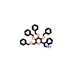 c1ccc(COCC2OC(c3c[nH]c4ccccc34)C(OCc3ccccc3)C(OCc3ccccc3)C2OCc2ccccc2)cc1